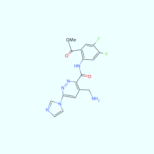 COC(=O)c1cc(F)c(F)cc1NC(=O)c1nnc(-n2ccnc2)cc1CN